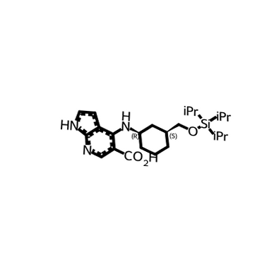 CC(C)[Si](OC[C@H]1CCC[C@@H](Nc2c(C(=O)O)cnc3[nH]ccc23)C1)(C(C)C)C(C)C